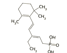 CCC(C=CC1=C(C)CCCC1(C)C)=CCP(=O)(O)O